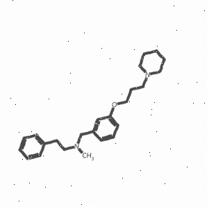 CN(CCc1ccccc1)Cc1cccc(OCCCN2CCCCC2)c1